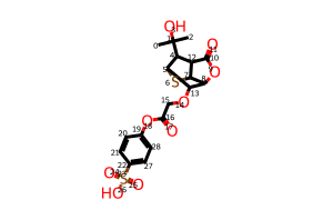 CC(C)(O)C1C2SC3C(OC(=O)C31)C2OCC(=O)Oc1ccc(S(=O)(=O)O)cc1